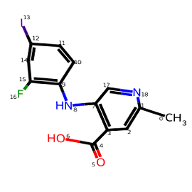 Cc1cc(C(=O)O)c(Nc2ccc(I)cc2F)cn1